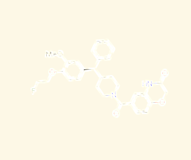 COc1cc([C@@H](c2ccccc2)C2CCN(C(=O)c3ccc4c(c3)NC(=O)CO4)CC2)ccc1OCCF